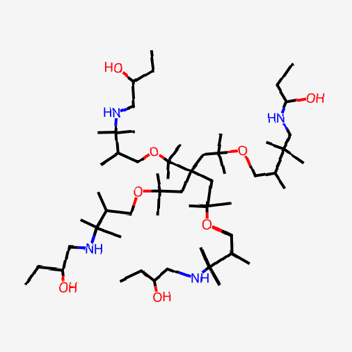 CCC(O)CNC(C)(C)C(C)COC(C)(C)CC(CC(C)(C)OCC(C)C(C)(C)CNC(O)CC)(CC(C)(C)OCC(C)C(C)(C)NCC(O)CC)C(C)(C)OCC(C)C(C)(C)NCC(O)CC